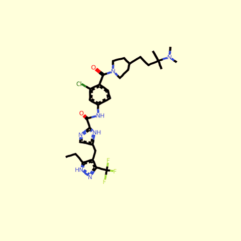 CCc1[nH]nc(C(F)(F)F)c1Cc1cnc(C(=O)Nc2ccc(C(=O)N3CCC(CCC(C)(C)N(C)C)CC3)c(Cl)c2)[nH]1